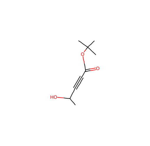 CC(O)C#CC(=O)OC(C)(C)C